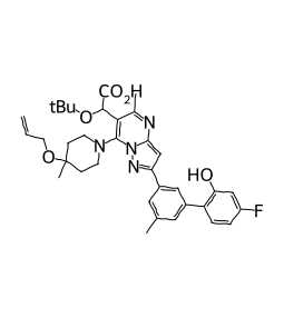 C=CCOC1(C)CCN(c2c(C(OC(C)(C)C)C(=O)O)c(C)nc3cc(-c4cc(C)cc(-c5ccc(F)cc5O)c4)nn23)CC1